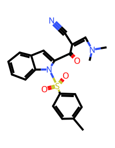 Cc1ccc(S(=O)(=O)n2c(C(=O)/C(C#N)=C\N(C)C)cc3ccccc32)cc1